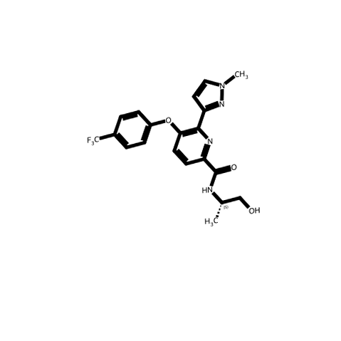 C[C@@H](CO)NC(=O)c1ccc(Oc2ccc(C(F)(F)F)cc2)c(-c2ccn(C)n2)n1